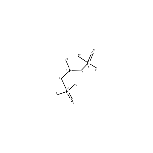 CP(CP(C)(C)=S)CP(C)(C)=S